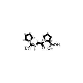 CC[C@H](NCC(=O)N1CCCC1B(O)O)N1CCCC1